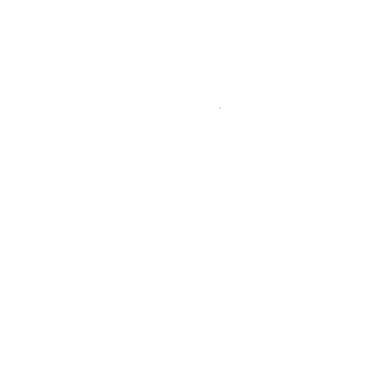 CC(CC(=O)OCCC(F)(F)F)C(=O)O